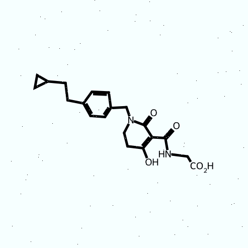 O=C(O)CNC(=O)C1=C(O)CCN(Cc2ccc(CCC3CC3)cc2)C1=O